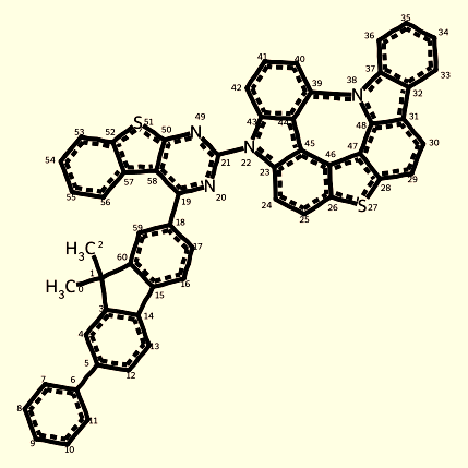 CC1(C)c2cc(-c3ccccc3)ccc2-c2ccc(-c3nc(-n4c5ccc6sc7ccc8c9ccccc9n9c%10cccc4c%10c5c6c7c89)nc4sc5ccccc5c34)cc21